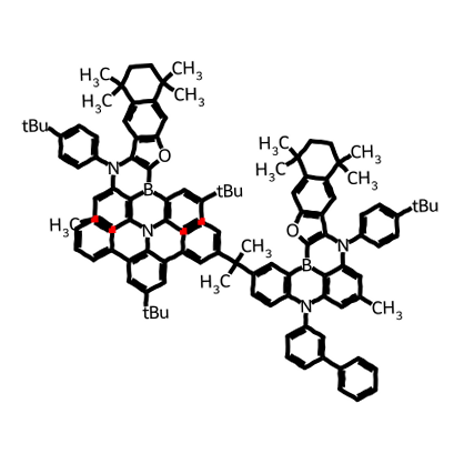 Cc1cc2c3c(c1)N(c1ccc(C(C)(C)C)cc1)c1c(oc4cc5c(cc14)C(C)(C)CCC5(C)C)B3c1cc(C(C)(C)c3cccc(-c4cc(C(C)(C)C)cc(-c5ccccc5)c4N4c5ccc(C(C)(C)C)cc5B5c6oc7cc8c(cc7c6N(c6ccc(C(C)(C)C)cc6)c6cc(C)cc4c65)C(C)(C)CCC8(C)C)c3)ccc1N2c1cccc(-c2ccccc2)c1